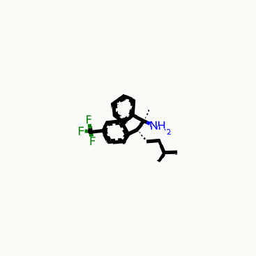 CC(C)CC[C@H](c1ccc(C(F)(F)F)cc1)[C@](C)(N)c1ccccc1